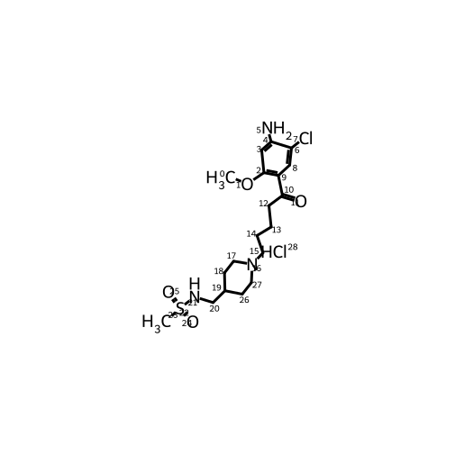 COc1cc(N)c(Cl)cc1C(=O)CCCCN1CCC(CNS(C)(=O)=O)CC1.Cl